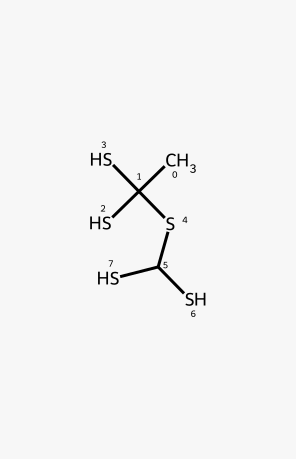 CC(S)(S)SC(S)S